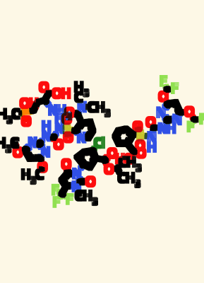 CC(C)OC(=O)c1cc(-n2c(=O)cc(C(F)(F)F)n(C)c2=O)ccc1Cl.COc1cc(OC)nc(NC(=O)NS(=O)(=O)c2ncccc2C(=O)N(C)C)n1.CP(=O)(O)CCC(N)C(=O)O.O=C(Nc1nc(OC(F)F)cc(OC(F)F)n1)NS(=O)(=O)c1ccccc1C(=O)O